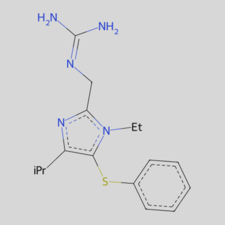 CCn1c(CN=C(N)N)nc(C(C)C)c1Sc1ccccc1